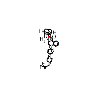 NC(=O)C12CC3C[C@H](C1)C(NC(=O)N1CCN(c4ccc(N5CCN(CC6CC6(F)F)CC5)cn4)c4ccccc41)[C@@H](C3)C2